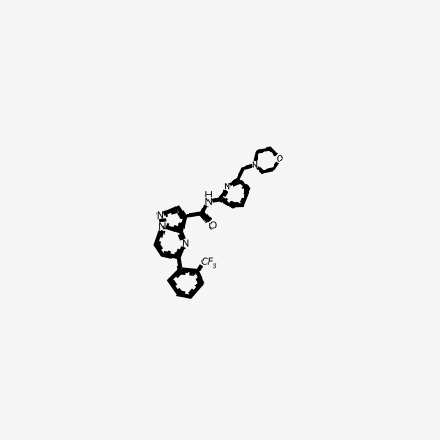 O=C(Nc1cccc(CN2CCOCC2)n1)c1cnn2ccc(-c3ccccc3C(F)(F)F)nc12